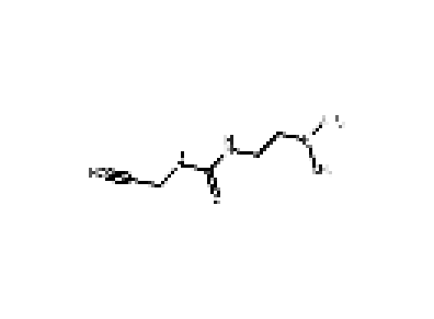 C#CCNC(=O)NCCN(C)C